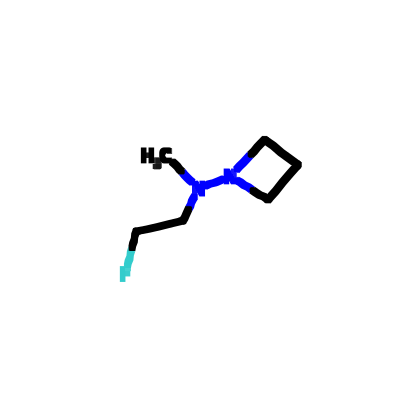 CN(CCF)N1CCC1